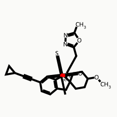 COC1CCC2(CC1)Cc1ccc(C#CC3CC3)cc1[C@]21NC(=S)N(Cc2nnc(C)o2)C1=O